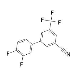 N#Cc1cc(-c2ccc(F)c(F)c2)cc(C(F)(F)F)c1